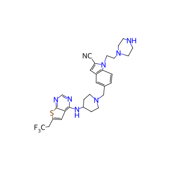 N#Cc1cc2cc(CN3CCC(Nc4ncnc5sc(CC(F)(F)F)cc45)CC3)ccc2n1CCN1CCNCC1